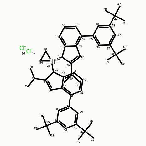 CC(C)C1=Cc2c(-c3cc(C(C)(C)C)cc(C(C)(C)C)c3)cccc2[CH]1[Hf+2]1([CH]2C(C(C)C)=Cc3c(-c4cc(C(C)(C)C)cc(C(C)(C)C)c4)cccc32)[CH2][CH2]1.[Cl-].[Cl-]